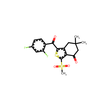 CC1(C)CC(=O)c2c(S(C)(=O)=O)sc(C(=O)c3ccc(F)cc3F)c2C1